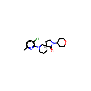 Cc1[c]cc(Cl)c(N2CCC[C@@]3(CCN(C4CCOCC4)C3=O)C2)n1